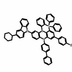 CC(C)(C)c1ccc(-c2cc3c4c(c2)S(c2ccccc2)(c2ccccc2)c2ccccc2B4c2cc(-n4c5ccccc5c5cc(C6CCCCC6)ccc54)ccc2N3c2ccc(-c3ccccc3)cc2)cc1